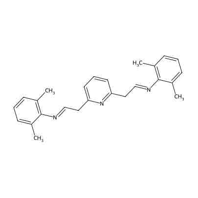 Cc1cccc(C)c1N=CCc1cccc(CC=Nc2c(C)cccc2C)n1